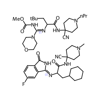 CCCN1CCC(C#N)(NC(=O)C(CC(C)(C)C)/N=C(\NC(=O)OC)N2CCOCC2)CC1.CN1CCC(C#N)(NC(=O)C(CC2CCCCC2)/N=C2\NC(=O)c3ccc(F)cc32)CC1